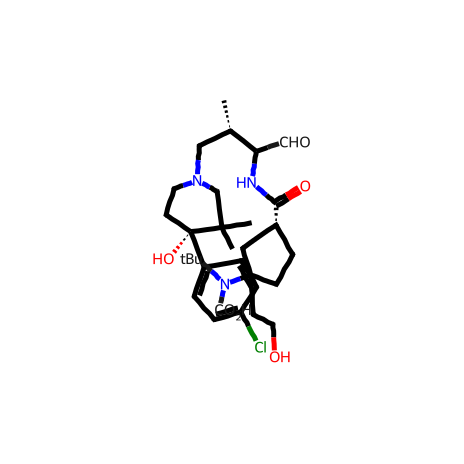 C[C@@H](CN1CC[C@](O)(c2ccc(Cl)cc2)C(C)(C)C1)C(C=O)NC(=O)[C@@H]1CCC(CCO)(N(C(=O)O)C(C)(C)C)C1